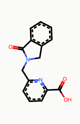 O=C(O)c1cccc(CN2Cc3ccccc3C2=O)n1